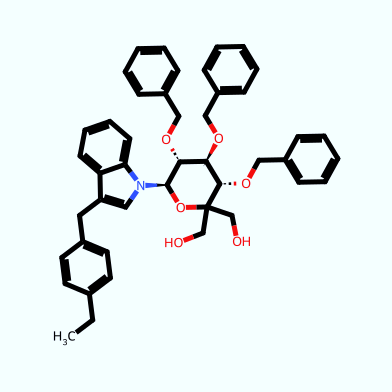 CCc1ccc(Cc2cn([C@@H]3OC(CO)(CO)[C@@H](OCc4ccccc4)[C@H](OCc4ccccc4)[C@H]3OCc3ccccc3)c3ccccc23)cc1